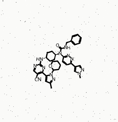 Cc1cc(-c2nc(N[C@H]3CC[C@H](N(C(=O)NCc4ccccc4)c4ccc(-c5cnn(C)c5)nn4)CC3)ncc2C#N)n(C2CCCCO2)n1